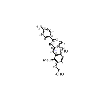 COc1c(OCC=O)ccc(C=O)c1/N=C(/NC(=O)c1cnc(N)nc1)N(C)C